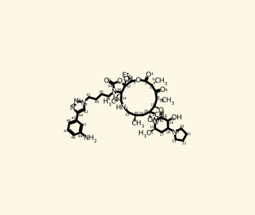 CC[C@H]1OC(=O)[C@H](C)C(=O)[C@H](C)[C@@H](O[C@@H]2O[C@H](C)CC(N3CCCC3)C2O)[C@](C)(OC)C[C@@H](C)CN[C@H](C)[C@H]2N(CCCCn3cc(-c4cccc(N)c4)nn3)C(=O)O[C@]12C